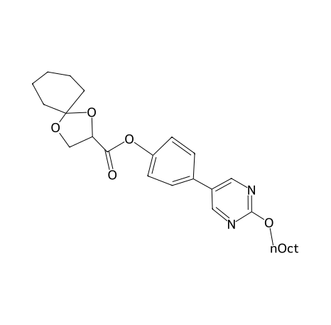 CCCCCCCCOc1ncc(-c2ccc(OC(=O)C3COC4(CCCCC4)O3)cc2)cn1